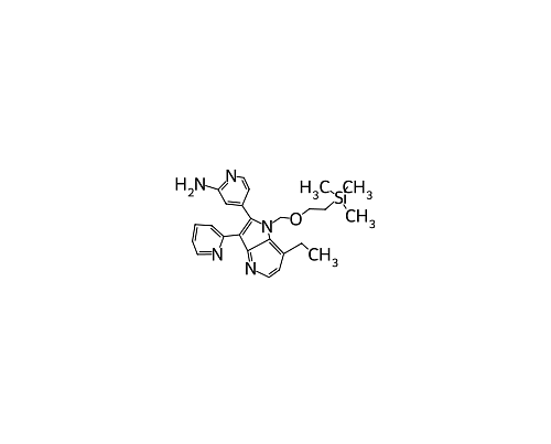 CCc1ccnc2c(-c3ccccn3)c(-c3ccnc(N)c3)n(COCC[Si](C)(C)C)c12